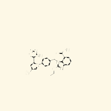 CCOc1nc2cccc(C(=O)O)c2n1Cc1ccc(-n2cc(Br)cc2-c2nnn[nH]2)cc1